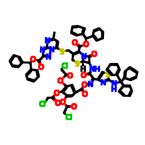 Cc1cc(SCC2=C(C(=O)OC(c3ccccc3)c3ccccc3)N3C(=O)[C@@H](NC(=O)/C(=N\OC(=O)c4cc(OC(=O)CCl)c(OC(=O)CCl)c(OC(=O)CCl)c4)c4csc(NC(c5ccccc5)(c5ccccc5)c5ccccc5)n4)[C@H]3SC2)n2nc(C(=O)OC(c3ccccc3)c3ccccc3)nc2n1